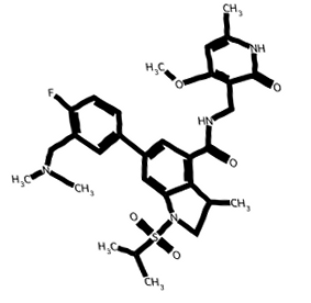 COc1cc(C)[nH]c(=O)c1CNC(=O)c1cc(-c2ccc(F)c(CN(C)C)c2)cc2c1C(C)CN2S(=O)(=O)C(C)C